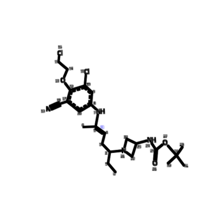 CCC(C/C=C(\C)Nc1cc(Cl)c(OCCCl)c(C#N)c1)N1CC(NC(=O)OC(C)(C)C)C1